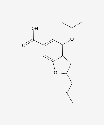 CC(C)Oc1cc(C(=O)O)cc2c1CC(CN(C)C)O2